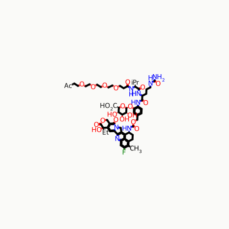 CC[C@@]1(O)C(=O)OCc2c1cc1n(c2=O)Cc2c-1nc1cc(F)c(C)c3c1c2[C@@H](NC(=O)OCc1ccc(NC(=O)C(CCCNC(N)=O)NC(=O)[C@@H](NC(=O)CCOCCOCCOCCOCCC(C)=O)C(C)C)c(O[C@@H]2O[C@H](C(=O)O)[C@@H](O)[C@H](O)[C@H]2O)c1)CC3